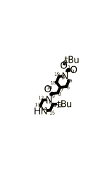 CC(C)(C)OC(=O)N1CCC(CC(=O)N2CCNCC2C(C)(C)C)CC1